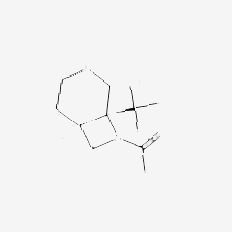 CC(C)(C)[C@]12CNCC[C@@H]1CN2C(=O)O